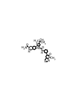 Cn1c(=O)c(-c2cccc(NC(=O)Nc3cc(C(C)(C)C)nn3-c3ccc4c(c3)CC(C(N)=O)NC4)c2)cc2cncnc21